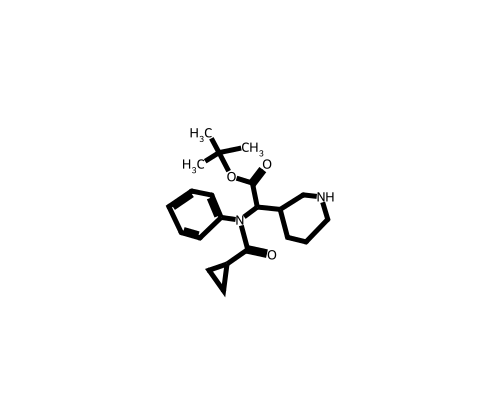 CC(C)(C)OC(=O)C(C1CCCNC1)N(C(=O)C1CC1)c1ccccc1